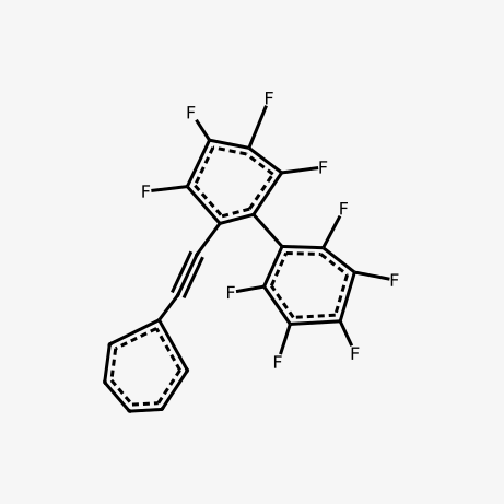 Fc1c(F)c(F)c(-c2c(F)c(F)c(F)c(F)c2C#Cc2ccccc2)c(F)c1F